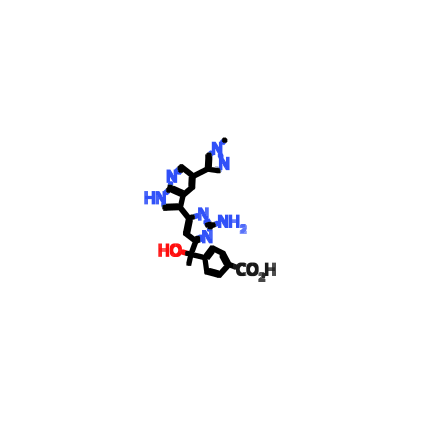 Cn1cc(-c2cnc3[nH]cc(-c4cc(C(C)(O)c5ccc(C(=O)O)cc5)nc(N)n4)c3c2)cn1